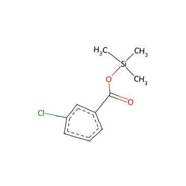 C[Si](C)(C)OC(=O)c1cccc(Cl)c1